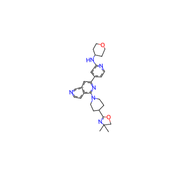 CC1(C)COC(C2CCN(c3nc(-c4ccnc(NC5CCOCC5)c4)cc4cnccc34)CC2)=N1